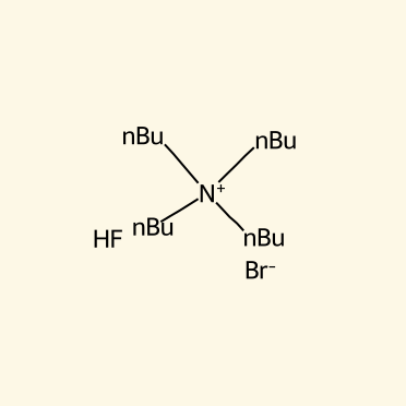 CCCC[N+](CCCC)(CCCC)CCCC.F.[Br-]